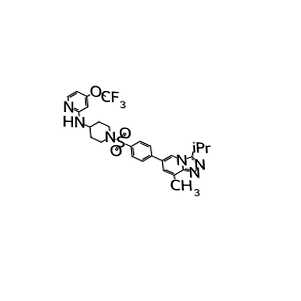 Cc1cc(-c2ccc(S(=O)(=O)N3CCC(Nc4cc(OC(F)(F)F)ccn4)CC3)cc2)cn2c(C(C)C)nnc12